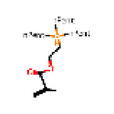 C=C(C)C(=O)OCC[PH](CCCCC)(CCCCC)CCCCC